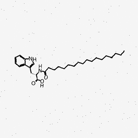 CCCCCCCCCCCCCCCCCC(=O)N[C@@H](Cc1c[nH]c2ccccc12)C(=O)O